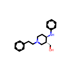 OC[C@@H]1CN(CCc2ccccc2)CC[C@H]1Nc1ccccc1